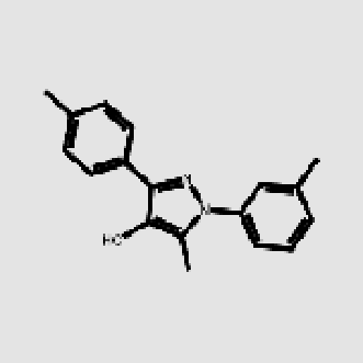 Cc1ccc(-c2nn(-c3cccc(C)c3)c(C)c2O)cc1